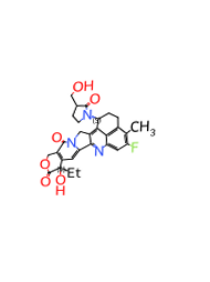 CC[C@@]1(O)C(=O)OCc2c1cc1n(c2=O)Cc2c-1nc1cc(F)c(C)c3c1c2[C@@H](N1CCC(CO)C1=O)CC3